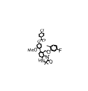 COc1cc(OC(=O)c2ccc(Cl)cc2)ccc1-c1ccc2c(c1COc1cc(F)ccc1C)N(C)C(=O)C(C)(C)N2